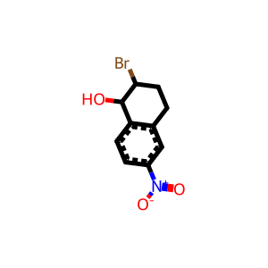 O=[N+]([O-])c1ccc2c(c1)CCC(Br)C2O